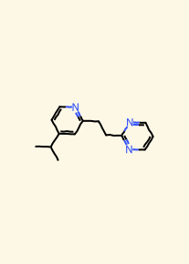 CC(C)c1ccnc(CCc2ncccn2)c1